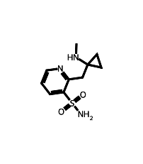 CNC1(Cc2ncccc2S(N)(=O)=O)CC1